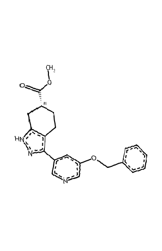 COC(=O)[C@@H]1CCc2c(-c3cncc(OCc4ccccc4)c3)n[nH]c2C1